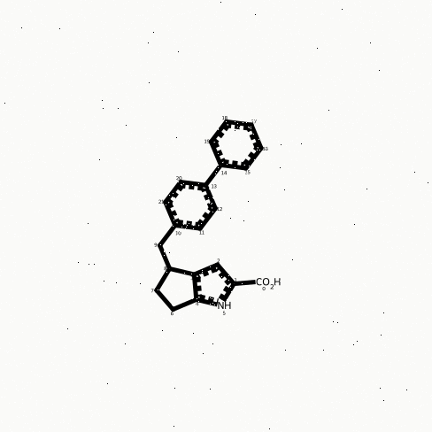 O=C(O)c1cc2c([nH]1)CCC2Cc1ccc(-c2ccccc2)cc1